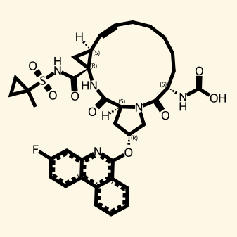 CC1(S(=O)(=O)NC(=O)[C@@]23C[C@H]2C=CCCCCC[C@H](NC(=O)O)C(=O)N2C[C@H](Oc4nc5cc(F)ccc5c5ccccc45)C[C@H]2C(=O)N3)CC1